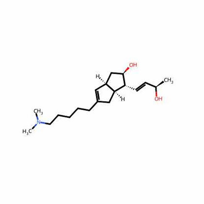 C[C@@H](O)/C=C/[C@@H]1[C@H]2CC(CCCCCN(C)C)=C[C@H]2C[C@H]1O